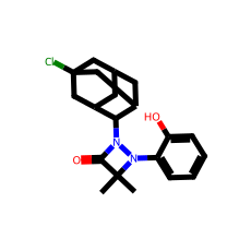 CC1(C)C(=O)N(C2C3CC4CC2CC(Cl)(C4)C3)N1c1ccccc1O